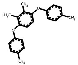 Cc1ccc(Oc2ccc(Oc3ccc(C)cc3)c(C)c2C)cc1